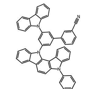 N#Cc1cccc(-c2cc(-n3c4ccccc4c4ccccc43)cc(-n3c4ccccc4c4ccc5c(c6ccccc6n5-c5ccccc5)c43)c2)c1